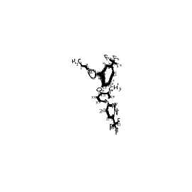 CCCOc1cc(C(F)(F)F)ccc1O[C@H]1CCN(c2ccc(C(F)(F)F)nn2)C[C@H]1C